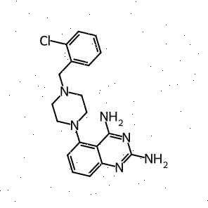 Nc1nc(N)c2c(N3CCN(Cc4ccccc4Cl)CC3)cccc2n1